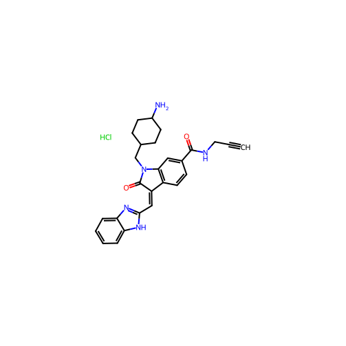 C#CCNC(=O)c1ccc2c(c1)N(CC1CCC(N)CC1)C(=O)/C2=C\c1nc2ccccc2[nH]1.Cl